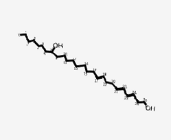 CCCCCCCC(O)CCCCCCCCCCCCCCCCCCO